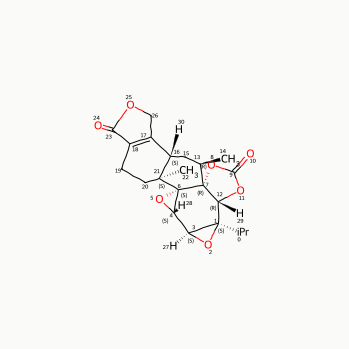 CC(C)[C@]12O[C@H]1[C@@H]1O[C@]13[C@@]1(OC(=O)O[C@H]21)[C@H](C)C[C@H]1C2=C(CC[C@@]13C)C(=O)OC2